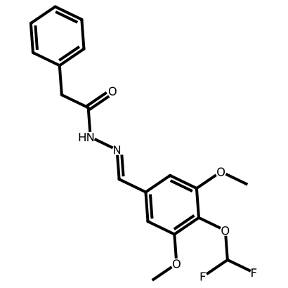 COc1cc(/C=N/NC(=O)Cc2ccccc2)cc(OC)c1OC(F)F